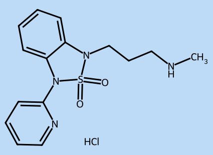 CNCCCN1c2ccccc2N(c2ccccn2)S1(=O)=O.Cl